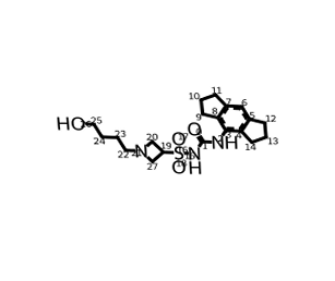 O=C(Nc1c2c(cc3c1CCC3)CCC2)NS(=O)(=O)C1CN(CCCCO)C1